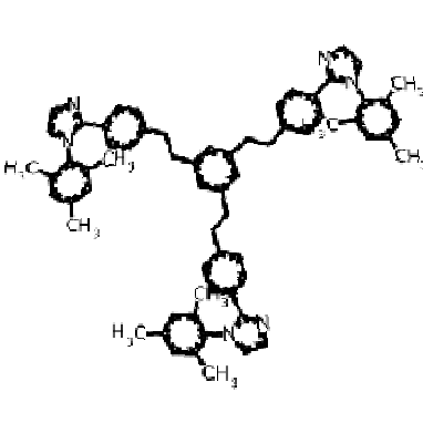 Cc1cc(C)c(-n2ccnc2-c2ccc(CCc3cc(CCc4ccc(-c5nccn5-c5c(C)cc(C)cc5C)cc4)cc(CCc4ccc(-c5nccn5-c5c(C)cc(C)cc5C)cc4)c3)cc2)c(C)c1